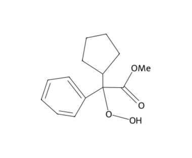 COC(=O)C(OO)(c1ccccc1)C1CCCC1